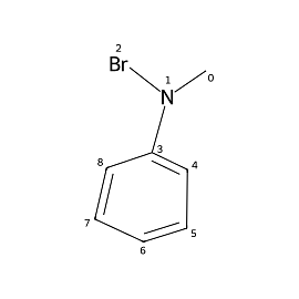 CN(Br)c1ccccc1